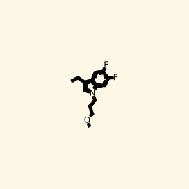 CCc1cn(CCCOC)c2cc(F)c(F)cc12